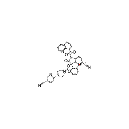 CCOc1ccccc1C1(OC(=O)N2CCN(c3ccc(C#N)cn3)CC2)C(=O)N(S(=O)(=O)c2cccc3cccnc23)c2ccc(C#N)cc21